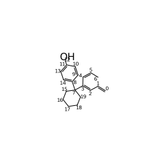 C=C/C=C(\C=C/C)C1(c2ccc(O)cc2)CCCCC1